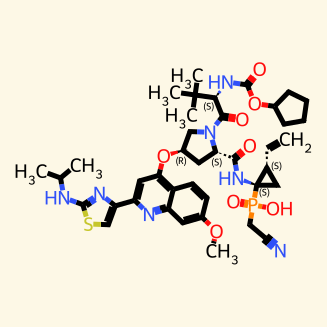 C=C[C@@H]1C[C@]1(NC(=O)[C@@H]1C[C@@H](Oc2cc(-c3csc(NC(C)C)n3)nc3cc(OC)ccc23)CN1C(=O)[C@@H](NC(=O)OC1CCCC1)C(C)(C)C)P(=O)(O)CC#N